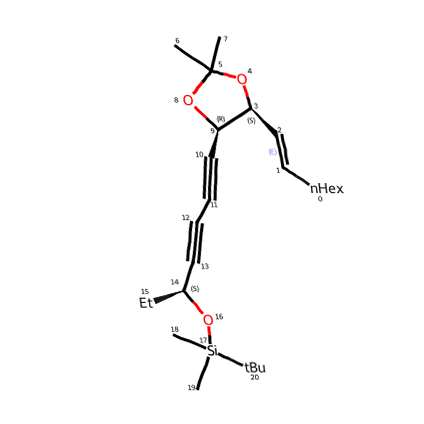 CCCCCC/C=C/[C@@H]1OC(C)(C)O[C@@H]1C#CC#C[C@H](CC)O[Si](C)(C)C(C)(C)C